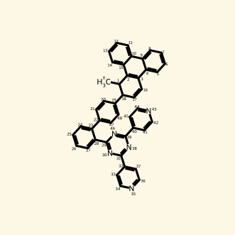 CC1c2c(c3ccccc3c3ccccc23)C=CC1c1ccc(-c2ccccc2-c2nc(-c3ccncc3)nc(-c3ccncc3)n2)cc1